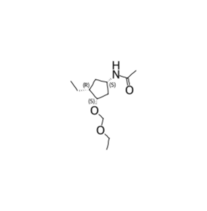 CCOCO[C@H]1C[C@@H](NC(C)=O)C[C@H]1CC